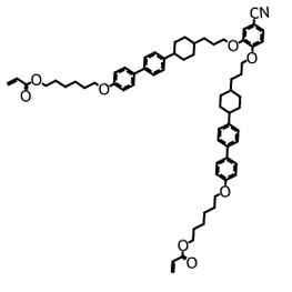 C=CC(=O)OCCCCCCOc1ccc(-c2ccc(C3CCC(CCCOc4ccc(C#N)cc4OCCCC4CCC(c5ccc(-c6ccc(OCCCCCCOC(=O)C=C)cc6)cc5)CC4)CC3)cc2)cc1